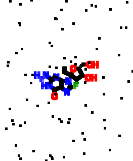 C=C[C@@]1(n2cnc3c(=O)[nH]c(N)nc32)O[C@H](CO)[C@@H](O)[C@H]1F